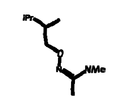 CN/C(C)=N\OCC(C)C(C)C